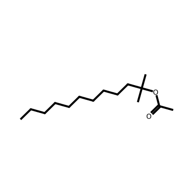 CCCCCCCCCCC(C)(C)OC(C)=O